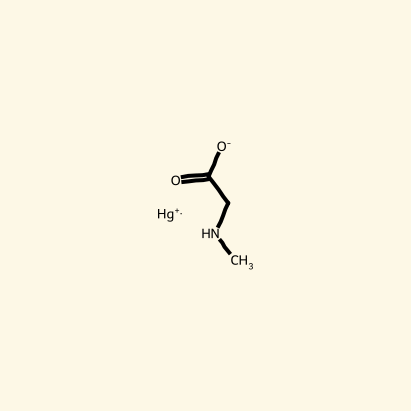 CNCC(=O)[O-].[Hg+]